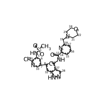 CS(=O)(=O)Nc1cc(-c2cc(NC(=O)c3cccc(CN4CCOCC4)n3)c3cn[nH]c3c2)cnc1Cl